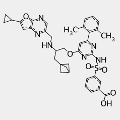 Cc1cccc(C)c1-c1cc(OCC(CC23CC(C2)C3)NCc2cnc3oc(C4CC4)cc3n2)nc(NS(=O)(=O)c2cccc(C(=O)O)c2)n1